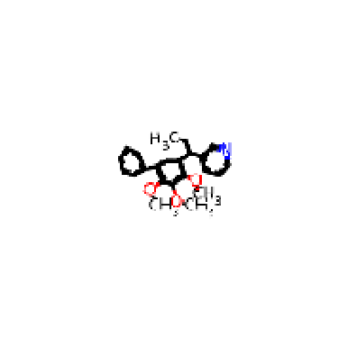 CCC(c1cccnc1)C1[CH]C(c2ccccc2)=C(OC)C(OC)=C1OC